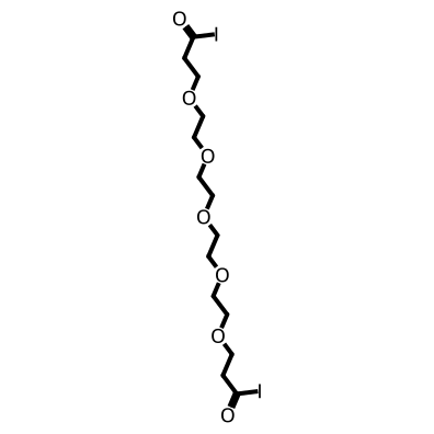 O=C(I)CCOCCOCCOCCOCCOCCC(=O)I